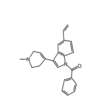 C=Cc1ccc2c(c1)c(C1=CCN(C)CC1)cn2C(=O)c1ccccc1